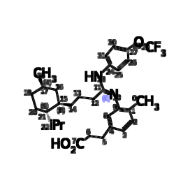 Cc1ccc(CCC(=O)O)cc1/N=C(\CCC[C@@H]1C[C@H](C)CC[C@H]1C(C)C)Nc1ccc(OC(F)(F)F)cc1